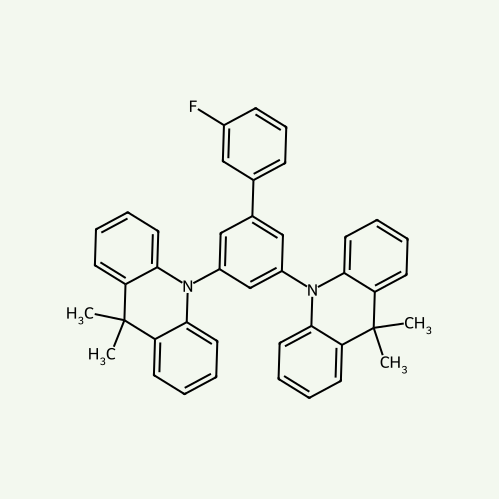 CC1(C)c2ccccc2N(c2cc(-c3cccc(F)c3)cc(N3c4ccccc4C(C)(C)c4ccccc43)c2)c2ccccc21